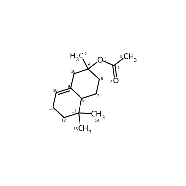 CC(=O)OC1(C)CCC2C(=CCCC2(C)C)C1